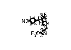 N#Cc1ccc(CC[C@@]2([C@H]3OCC3(F)F)CCN(Cc3ncc(C(F)(F)F)s3)C2)cc1